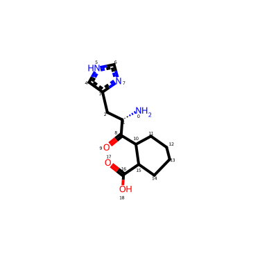 N[C@@H](Cc1c[nH]cn1)C(=O)C1CCCCC1C(=O)O